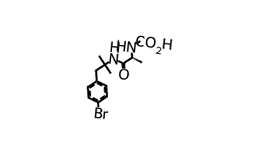 C[C@H](NC(=O)O)C(=O)NC(C)(C)Cc1ccc(Br)cc1